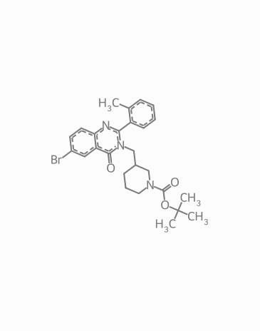 Cc1ccccc1-c1nc2ccc(Br)cc2c(=O)n1CC1CCCN(C(=O)OC(C)(C)C)C1